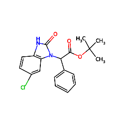 CC(C)(C)OC(=O)C(c1ccccc1)n1c(=O)[nH]c2ccc(Cl)cc21